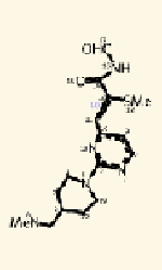 CNCC1CCN(c2nccc(/C=C(\SC)C(=O)NC=O)n2)CC1